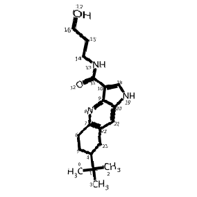 CC(C)(C)C1CCc2nc3c(C(=O)NCCCO)c[nH]c3cc2C1